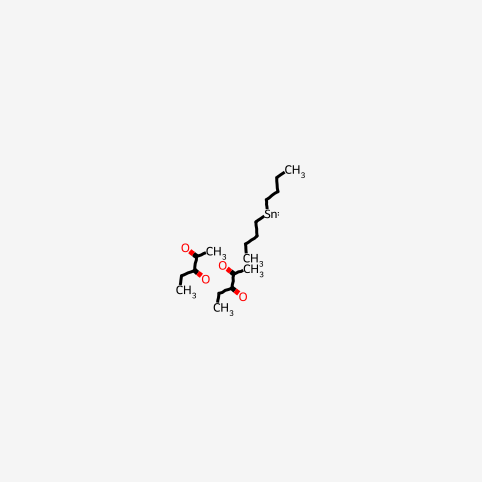 CCC(=O)C(C)=O.CCC(=O)C(C)=O.CCC[CH2][Sn][CH2]CCC